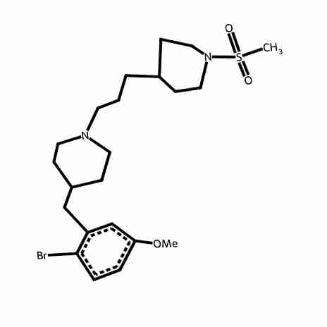 COc1ccc(Br)c(CC2CCN(CCCC3CCN(S(C)(=O)=O)CC3)CC2)c1